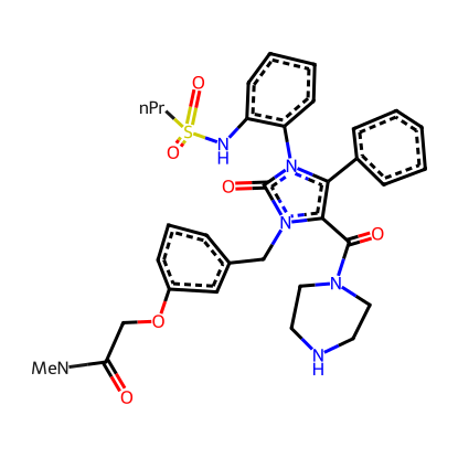 CCCS(=O)(=O)Nc1ccccc1-n1c(-c2ccccc2)c(C(=O)N2CCNCC2)n(Cc2cccc(OCC(=O)NC)c2)c1=O